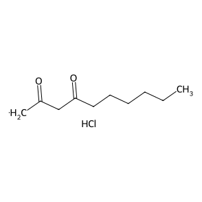 Cl.[CH2]C(=O)CC(=O)CCCCCC